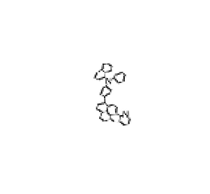 c1ccc(N(c2ccc(-c3ccc4ccc5cc6cccnc6c6ccc3c4c56)cc2)c2cccc3ccccc23)cc1